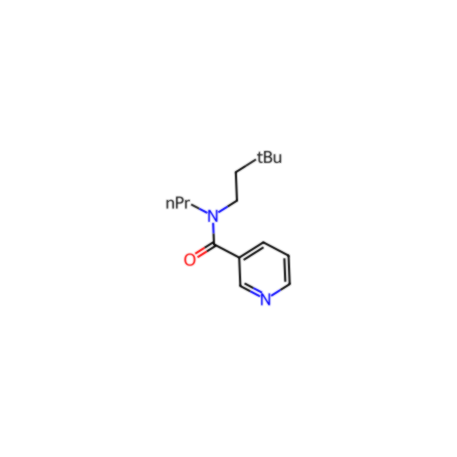 CCCN(CCC(C)(C)C)C(=O)c1cccnc1